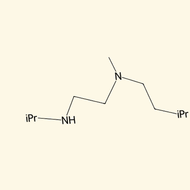 CC(C)CCN(C)CCNC(C)C